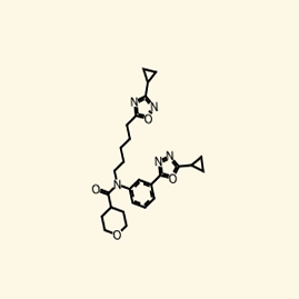 O=C(C1CCOCC1)N(CCCCCc1nc(C2CC2)no1)c1cccc(-c2nnc(C3CC3)o2)c1